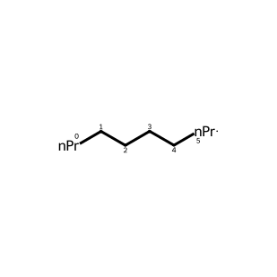 C[CH]CCCCC[CH]CC